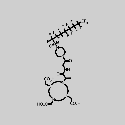 CC(C(=O)NCC(=O)N1CCN(S(=O)(=O)C(F)(F)C(F)(F)C(F)(F)C(F)(F)C(F)(F)C(F)(F)C(F)(F)C(F)(F)F)CC1)N1CCN(CC(=O)O)CCN(CC(=O)O)CCN(CC(=O)O)CC1